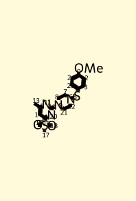 COc1ccc(SN2CCN(c3nc(C)cc(S(C)(=O)=O)n3)CC2)cc1